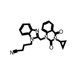 N#CCCCn1c(Cn2c(=O)n(C3CC3)c(=O)c3ccccc32)nc2ccccc21